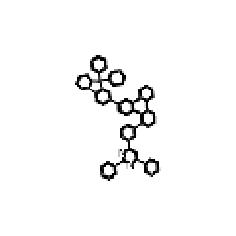 c1ccc(-c2cc(-c3cccc(-c4cccc5c6ccccc6c6cc(-c7ccc8c(c7)C(c7ccccc7)(c7ccccc7)c7ccccc7-8)ccc6c45)c3)nc(-c3ccccc3)n2)cc1